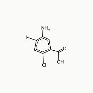 Nc1cc(C(=O)O)c(Cl)cc1I